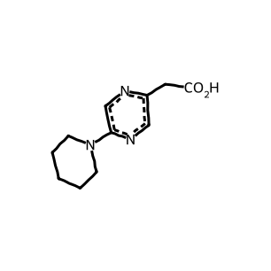 O=C(O)Cc1cnc(N2CCCCC2)cn1